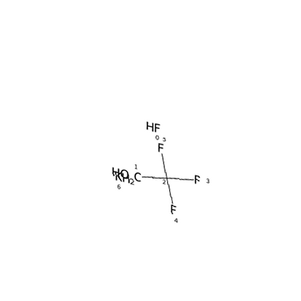 F.O=C(O)C(F)(F)F.[KH]